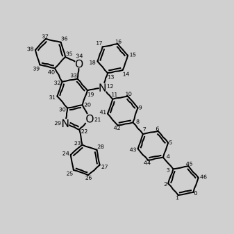 c1ccc(-c2ccc(-c3ccc(N(c4ccccc4)c4c5oc(-c6ccccc6)nc5cc5c4oc4ccccc45)cc3)cc2)cc1